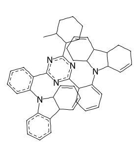 CC1CCCCC1c1nc(-c2ccccc2N2c3ccccc3C3C=CC=CC32)nc(C2CC=CC=C2N2C3C=CCCC3C3C=CCCC32)n1